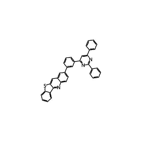 c1ccc(-c2cc(-c3cccc(-c4ccc5nc6c(cc5c4)sc4ccccc46)c3)nc(-c3ccccc3)n2)cc1